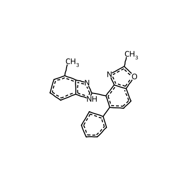 Cc1nc2c(-c3nc4c(C)cccc4[nH]3)c(-c3ccccc3)ccc2o1